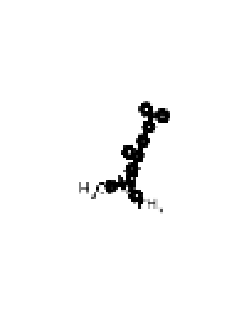 CC1=CC=C(c2nc(C3=CCC(C)C=C3)nc(-c3ccc(-c4ccc(-c5ccc(-c6ccc(P(c7ccccc7)c7ccccc7)cc6)cc5)c5ccccc45)cc3)n2)CC1